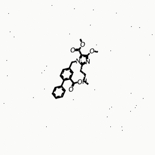 CCCCc1nc(OC)c(C(=O)OC)n1Cc1ccc(-c2ccccc2)c(C(=O)O)c1